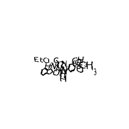 CCOC(=O)c1cnc(Nc2ccc(S(C)(=O)=O)c(C)c2)nc1N[C@H]1c2ccccc2C[C@@H]1O